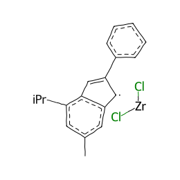 Cc1cc2c(c(C(C)C)c1)C=C(c1ccccc1)[CH]2.[Cl][Zr][Cl]